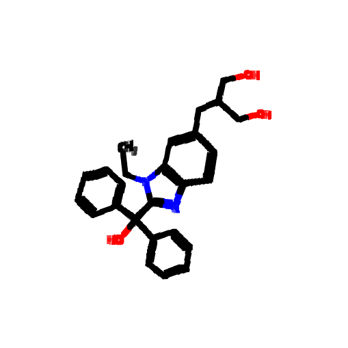 CCn1c(C(O)(c2ccccc2)c2ccccc2)nc2ccc(CC(CO)CO)cc21